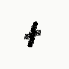 N#CC(C#N)=C1c2cc(S(=O)(=O)c3ccccc3)ccc2-c2c(F)c3c(c(F)c21)-c1ccc(S(=O)(=O)c2ccccc2)cc1C3=C(C#N)C#N